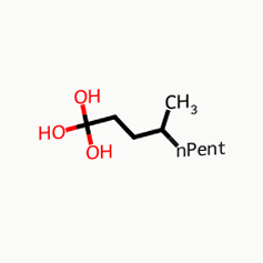 CCCCCC(C)CCC(O)(O)O